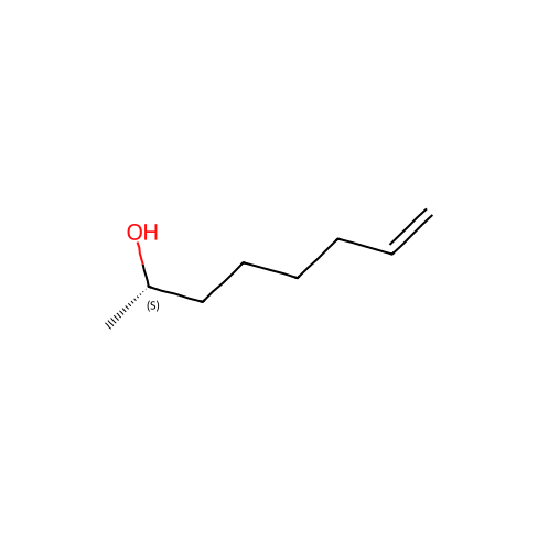 C=CCCCC[C@H](C)O